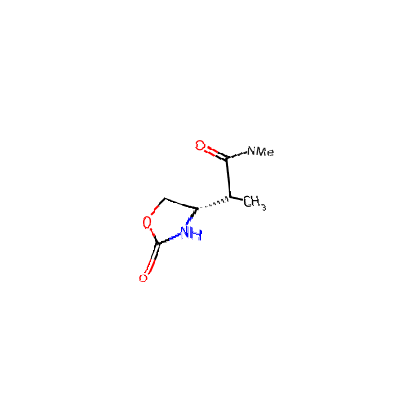 CNC(=O)C(C)[C@H]1COC(=O)N1